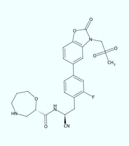 CS(=O)(=O)Cn1c(=O)oc2ccc(-c3ccc(C[C@@H](C#N)NC(=O)[C@@H]4CNCCCO4)c(F)c3)cc21